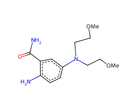 COCCN(CCOC)c1ccc(N)c(C(N)=O)c1